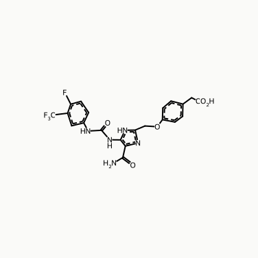 NC(=O)c1nc(COc2ccc(CC(=O)O)cc2)[nH]c1NC(=O)Nc1ccc(F)c(C(F)(F)F)c1